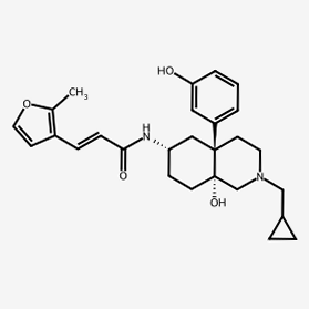 Cc1occc1C=CC(=O)N[C@H]1CC[C@]2(O)CN(CC3CC3)CC[C@@]2(c2cccc(O)c2)C1